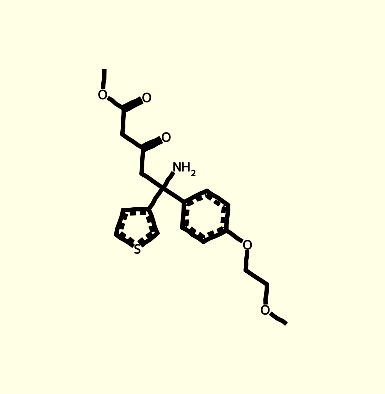 COCCOc1ccc(C(N)(CC(=O)CC(=O)OC)c2ccsc2)cc1